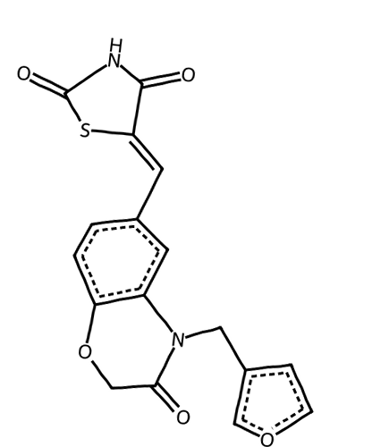 O=C1NC(=O)/C(=C/c2ccc3c(c2)N(Cc2ccoc2)C(=O)CO3)S1